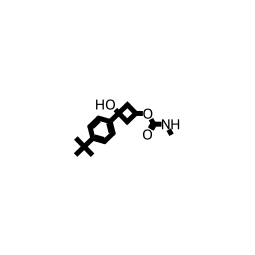 CNC(=O)OC1CC(O)(c2ccc(C(C)(C)C)cc2)C1